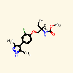 Cc1n[nH]c(C)c1-c1ccc(OCC(C)(CC(C)C)NC(=O)OC(C)(C)C)c(F)c1